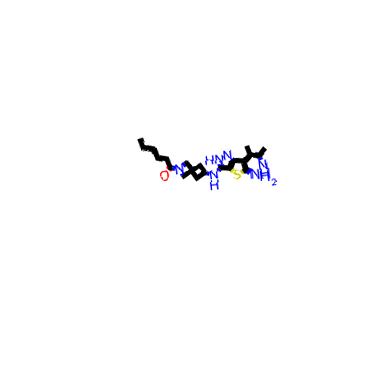 CCCCCC(=O)N1CC2(CC(Nc3[nH]nc4c3SC(=N)/C4=C(/C)C(C)N)C2)C1